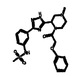 CN1CCN(C(=O)COc2ccccc2)C(c2nc(-c3cccc(NS(C)(=O)=O)c3)n[nH]2)C1